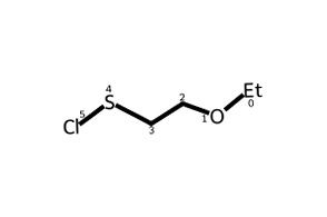 CCOCCSCl